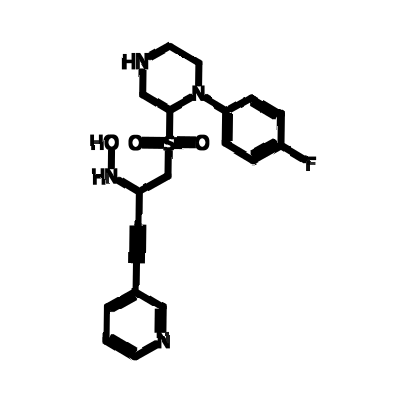 O=S(=O)(CC(C#Cc1cccnc1)NO)C1CNCCN1c1ccc(F)cc1